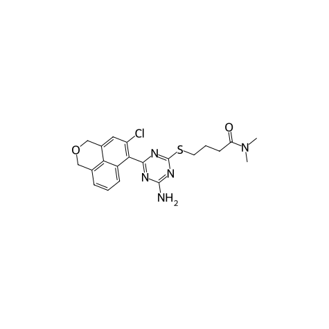 CN(C)C(=O)CCCSc1nc(N)nc(-c2c(Cl)cc3c4c(cccc24)COC3)n1